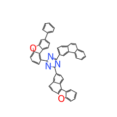 c1ccc(-c2ccc3c(c2)oc2cccc(-c4nc(-c5ccc6c(ccc7oc8ccccc8c76)c5)nc(-c5ccc6ccc7ccccc7c6c5)n4)c23)cc1